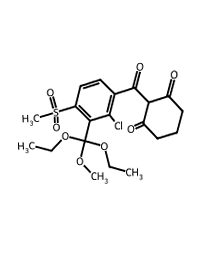 CCOC(OC)(OCC)c1c(S(C)(=O)=O)ccc(C(=O)C2C(=O)CCCC2=O)c1Cl